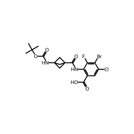 CC(C)(C)OC(=O)NC12CC(C(=O)Nc3c(C(=O)O)cc(Cl)c(Br)c3F)(C1)C2